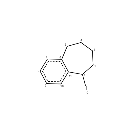 IC1CCCCc2ccccc21